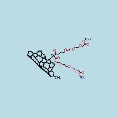 CC1Cc2c3ccc4c(C5CC5(C(=O)CCCOCCOCCOCC(=O)OC(C)(C)C)C(=O)OCCOCCOCCOCC(=O)OC(C)(C)C)c5c6cc7ccc8c9ccc%10c1c1c2c2c3c4c5c3c4c6c7c8c5c9c%10c1c(c23)c54